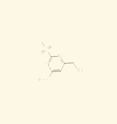 CC(C)Cc1cc(C(=O)O)nc(S(C)(=O)=O)n1